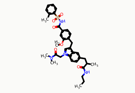 CCCNC(=O)C(C)Cc1ccc2c(c1)c(Cc1ccc(C(=O)NS(=O)(=O)c3ccccc3C)cc1OC)cn2CC(=O)N(C)C